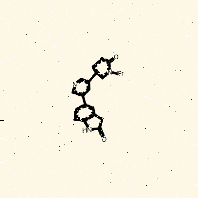 CC(C)n1cc(-c2cncc(-c3ccc4c(c3)CC(=O)N4)c2)ccc1=O